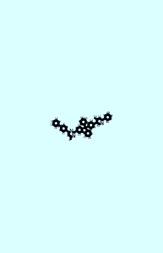 Cc1cc(-c2ccc(-c3ccccc3)cc2)nc(-c2ccc3c(c2)-c2ccccc2C3(c2ccccc2)c2ccc(-c3cnc(-c4ccccc4)cc3C)cc2)n1